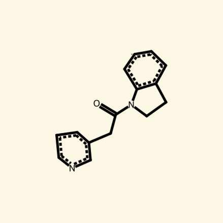 O=C(Cc1cccnc1)N1CCc2cc[c]cc21